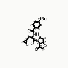 CC(C)(C)c1ccc(C(=O)NC(CC2CC2)C(=O)N2CCC3OCC(=O)C32)cc1